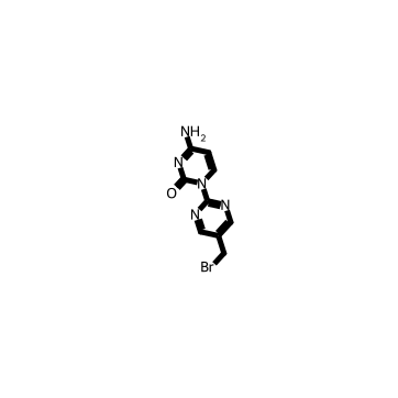 Nc1ccn(-c2ncc(CBr)cn2)c(=O)n1